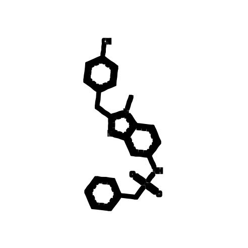 Cn1c(Cc2ccc(C#N)cc2)nc2cc(NS(=O)(=O)Cc3ccccc3)ccc21